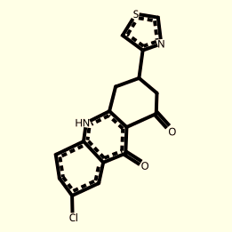 O=C1CC(c2cscn2)Cc2[nH]c3ccc(Cl)cc3c(=O)c21